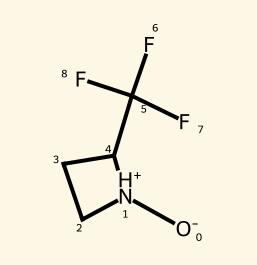 [O-][NH+]1CCC1C(F)(F)F